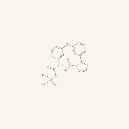 CC(C)(C)OC(=O)Nc1cccc(Oc2cc(-c3cccn3C(=O)O)ncn2)c1